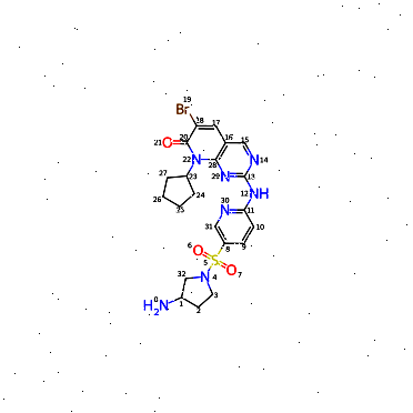 NC1CCN(S(=O)(=O)c2ccc(Nc3ncc4cc(Br)c(=O)n(C5CCCC5)c4n3)nc2)C1